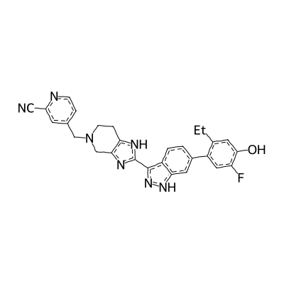 CCc1cc(O)c(F)cc1-c1ccc2c(-c3nc4c([nH]3)CCN(Cc3ccnc(C#N)c3)C4)n[nH]c2c1